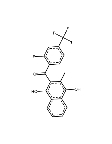 Cc1c(C(=O)c2ccc(C(F)(F)F)cc2F)c(O)c2ccccc2c1O